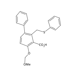 COCOc1ccc(-c2ccccc2)c(CSc2ccccc2)c1C(=O)O